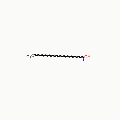 CCCCCCCCCCCCCCCCCCCCCCCCCCCCC(O)I